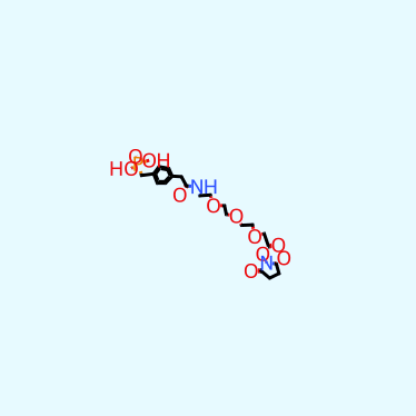 O=C(Cc1ccc(CP(=O)(O)O)cc1)NCCOCCOCCOCC(=O)ON1C(=O)CCC1=O